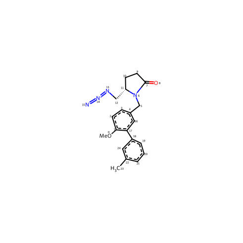 COc1ccc(CN2C(=O)CC[C@H]2CN=[N+]=[N-])cc1-c1cccc(C)c1